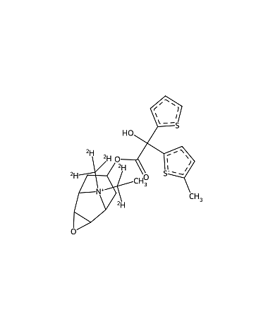 [2H]C([2H])([2H])[N+]1(C([2H])([2H])C)C2CC(OC(=O)C(O)(c3cccs3)c3ccc(C)s3)CC1C1OC12